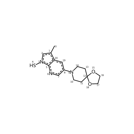 Cc1cn(S)c2ncc(N3CCC4(CC3)OCCO4)cc12